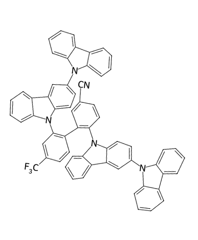 N#Cc1ccc(-n2c3ccccc3c3cc(-n4c5ccccc5c5ccccc54)ccc32)c(-c2ccc(C(F)(F)F)cc2-n2c3ccccc3c3cc(-n4c5ccccc5c5ccccc54)ccc32)c1